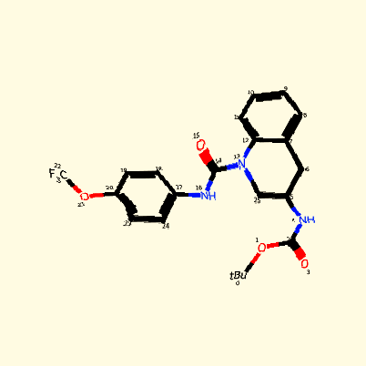 CC(C)(C)OC(=O)NC1Cc2ccccc2N(C(=O)Nc2ccc(OC(F)(F)F)cc2)C1